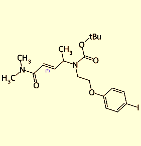 CC(/C=C/C(=O)N(C)C)N(CCOc1ccc(I)cc1)C(=O)OC(C)(C)C